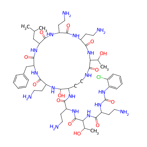 CC(C)CC1NC(=O)C(Cc2ccccc2)NC(=O)C(CCN)NC(O)C(NC(=O)C(CCN)NC(=O)C(NC(=O)C(CCN)NC(=O)Nc2ccccc2Cl)C(C)O)CCNC(=O)C(C(C)O)NC(=O)C(CCN)NC(=O)C(CCN)NC1=O